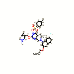 CCc1c(F)ccc2cc(OCOC)cc(N3CCc4c(nc(OCC5(CN(C)C)CC5)nc4OS(=O)(=O)c4ccc(C)cc4)C3)c12